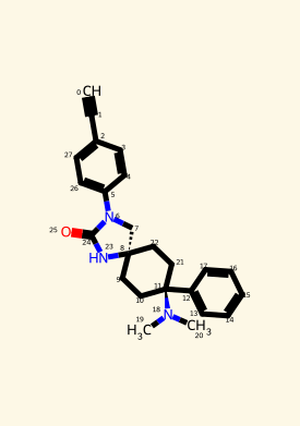 C#Cc1ccc(N2C[C@]3(CC[C@](c4ccccc4)(N(C)C)CC3)NC2=O)cc1